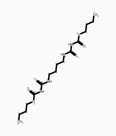 CCCCOC(=O)NC(=S)NCCCCNC(=S)NC(=O)OCCCC